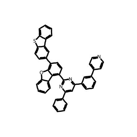 c1ccc(-c2cc(-c3cccc(-c4ccncc4)c3)nc(-c3ccc(-c4ccc5sc6ccccc6c5c4)c4oc5ccccc5c34)n2)cc1